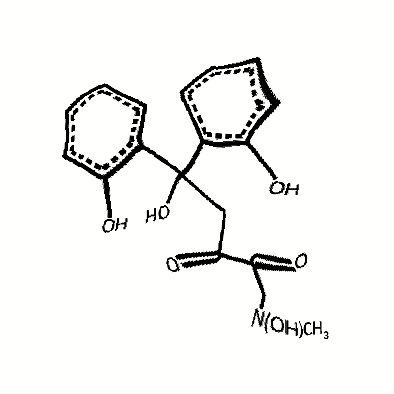 CN(O)C(=O)C(=O)CC(O)(c1ccccc1O)c1ccccc1O